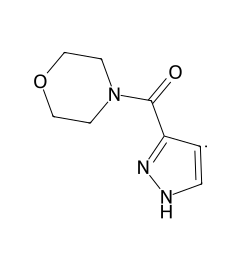 O=C(c1[c]c[nH]n1)N1CCOCC1